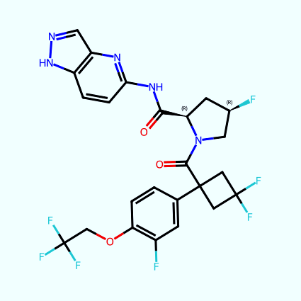 O=C(Nc1ccc2[nH]ncc2n1)[C@H]1C[C@@H](F)CN1C(=O)C1(c2ccc(OCC(F)(F)F)c(F)c2)CC(F)(F)C1